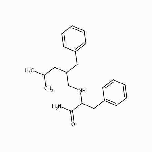 CC(C)CC(CNC(Cc1ccccc1)C(N)=O)Cc1ccccc1